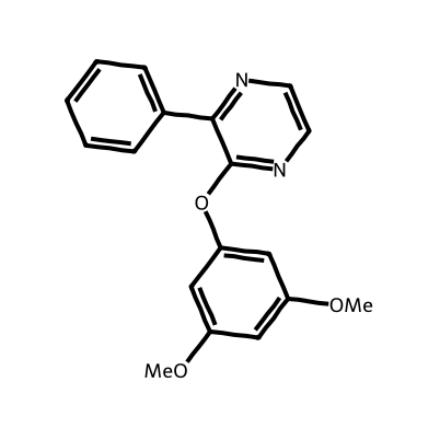 COc1cc(OC)cc(Oc2nccnc2-c2ccccc2)c1